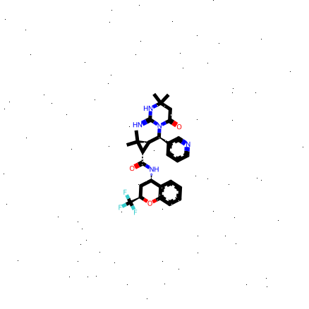 CC1(C)CC(=O)N([C@@H](c2cccnc2)[C@H]2[C@H](C(=O)N[C@H]3C[C@H](C(F)(F)F)Oc4ccccc43)C2(C)C)C(=N)N1